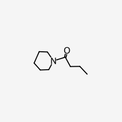 CCCC(=O)N1CCCCC1